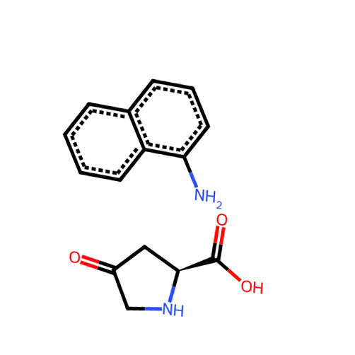 Nc1cccc2ccccc12.O=C1CN[C@H](C(=O)O)C1